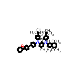 Cc1cc2c3c(c1)N(c1ccc4c(c1)C(C)(C)CCC4(C)C)c1ccc(C(C)(C)C)cc1B3c1cc(C(C)(C)C)ccc1N2c1ccc(-c2ccc3c(c2)oc2ccccc23)cc1